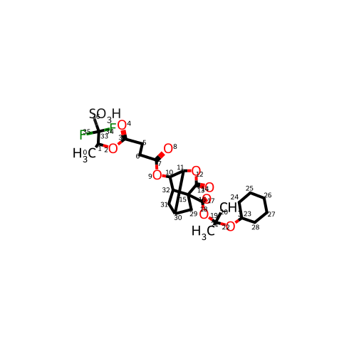 CC(OC(=O)CCC(=O)OC1C2OC(=O)C3(C(=O)OC(C)(C)OC4CCCCC4)CC2CC13)C(F)(F)S(=O)(=O)O